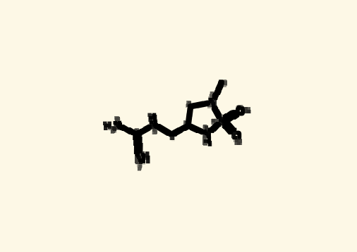 CN1CC(CNC(=N)N)NS1(=O)=O